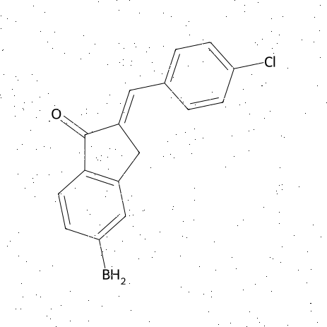 Bc1ccc2c(c1)C/C(=C\c1ccc(Cl)cc1)C2=O